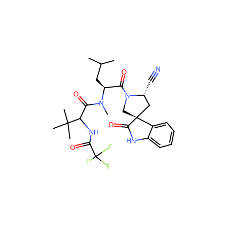 CC(C)C[C@@H](C(=O)N1C[C@]2(C[C@H]1C#N)C(=O)Nc1ccccc12)N(C)C(=O)C(NC(=O)C(F)(F)F)C(C)(C)C